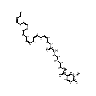 CC/C=C\C/C=C\C/C=C\C/C=C\C/C=C\C/C=C\CCC(=O)NCCSCCNC(=O)c1c[n+]([O-])c(C)cn1